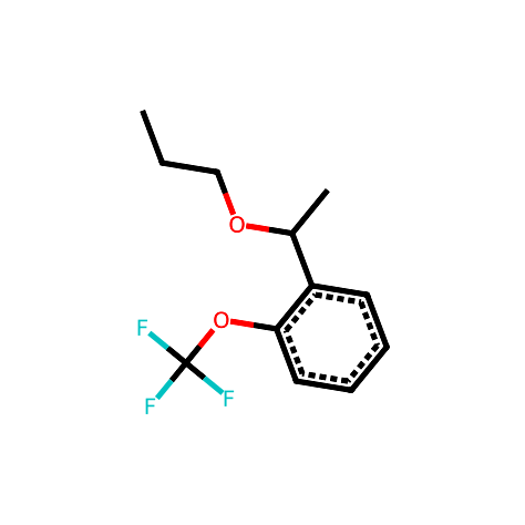 CCCOC(C)c1ccccc1OC(F)(F)F